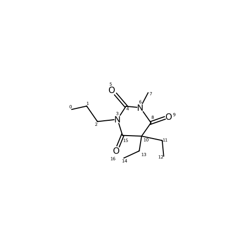 CCCN1C(=O)N(C)C(=O)C(CC)(CC)C1=O